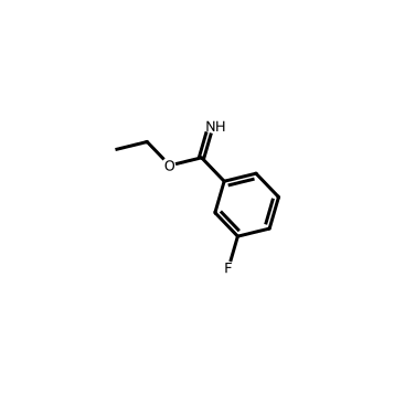 CCOC(=N)c1cccc(F)c1